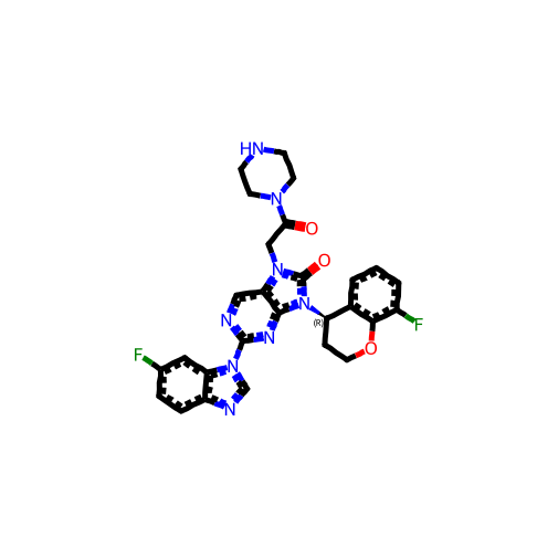 O=C(Cn1c(=O)n([C@@H]2CCOc3c(F)cccc32)c2nc(-n3cnc4ccc(F)cc43)ncc21)N1CCNCC1